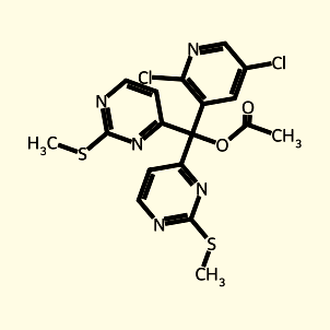 CSc1nccc(C(OC(C)=O)(c2ccnc(SC)n2)c2cc(Cl)cnc2Cl)n1